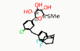 CS[C@H]1O[C@@H](c2ccc(Cl)c(Cc3ccc(C45CCC(F)(F)CC4C5)cc3)c2)[C@H](O)[C@@H](O)[C@@H]1O